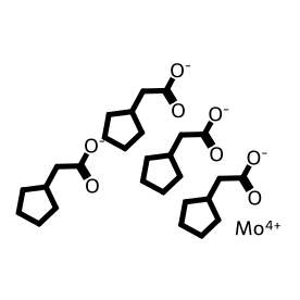 O=C([O-])CC1CCCC1.O=C([O-])CC1CCCC1.O=C([O-])CC1CCCC1.O=C([O-])CC1CCCC1.[Mo+4]